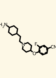 N#Cc1ccc(OC2CCN(CCC3CCC(N)CC3)CC2)c(F)c1